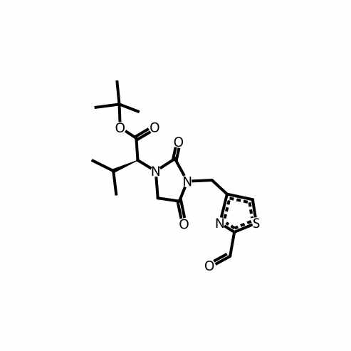 CC(C)[C@@H](C(=O)OC(C)(C)C)N1CC(=O)N(Cc2csc(C=O)n2)C1=O